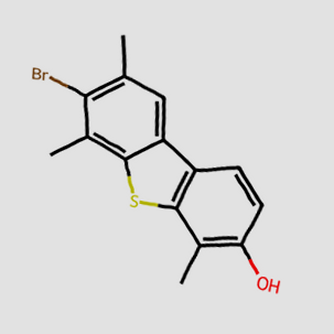 Cc1cc2c(sc3c(C)c(O)ccc32)c(C)c1Br